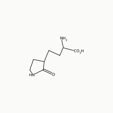 NC(CCC1CCNC1=O)C(=O)O